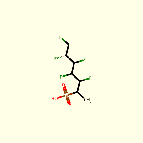 CC(C(F)C(F)C(F)[C@H](F)CF)S(=O)(=O)O